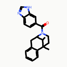 CC1C2Cc3ccccc3C1(C)CCN2C(=O)c1ccc2nc[nH]c2c1